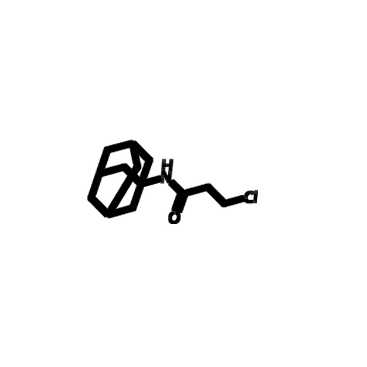 O=C(CCCl)NC12CC3CC(CC(C3)C1)C2